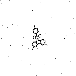 Cc1ccc(S(=O)(=O)n2c3ccc(C)cc3c3cc(C)ccc32)cc1